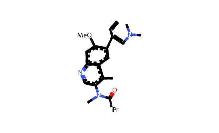 C=C/C(=C\N(C)C)c1cc2c(C)c(N(C)C(=O)C(C)C)cnc2cc1OC